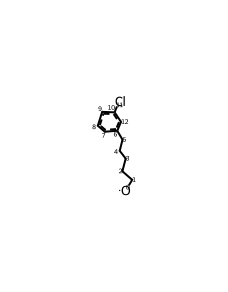 [O]CCCCCc1cccc(Cl)c1